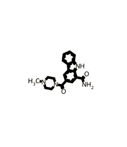 CN1CCN(C(=O)c2cc(C(N)=O)c3[nH]c4ccccc4c3c2)CC1